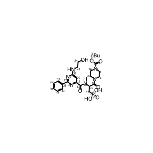 CCCCOC(=O)N1CCN(C(=O)C(CP(=O)(O)O)NC(=O)c2cc(NCCO)nc(-c3ccccc3)n2)CC1